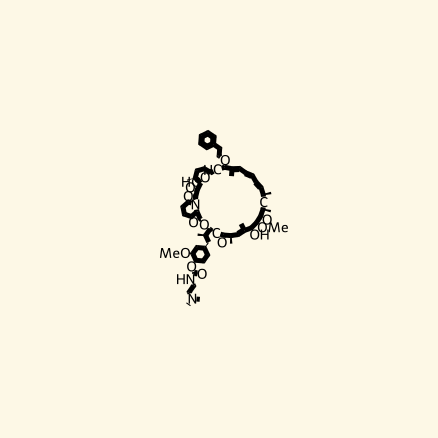 CO[C@@H]1C[C@H](C[C@@H](C)[C@@H]2CC(=O)[C@H](C)/C=C(\C)[C@@H](O)[C@@H](OC)C(=O)[C@H](C)C[C@H](C)/C=C/C=C/C=C(\C)C(OCCc3ccccc3)C[C@@H]3CC[C@@H](C)[C@@](O)(O3)C(=O)C(=O)N3CCCCC3C(=O)O2)CC[C@H]1OC(=O)NCCN(C)C